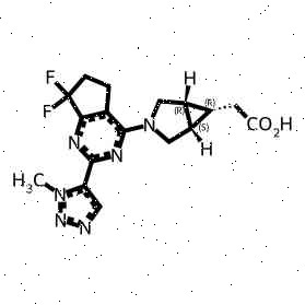 Cn1nncc1-c1nc(N2C[C@@H]3[C@H](CC(=O)O)[C@@H]3C2)c2c(n1)C(F)(F)CC2